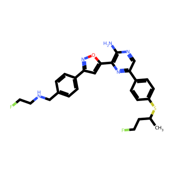 CC(CCF)Sc1ccc(-c2cnc(N)c(-c3cc(-c4ccc(CNCCF)cc4)no3)n2)cc1